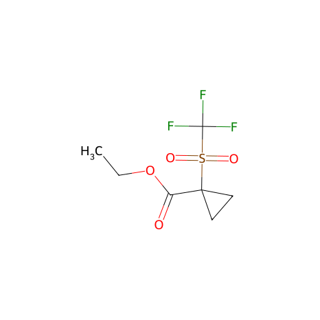 CCOC(=O)C1(S(=O)(=O)C(F)(F)F)CC1